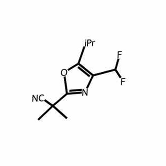 CC(C)c1oc(C(C)(C)C#N)nc1C(F)F